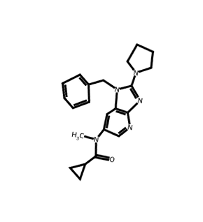 CN(C(=O)C1CC1)c1cnc2nc(N3CCCC3)n(Cc3ccccc3)c2c1